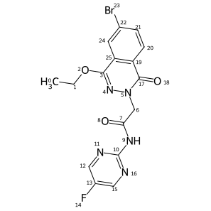 CCOc1nn(CC(=O)Nc2ncc(F)cn2)c(=O)c2ccc(Br)cc12